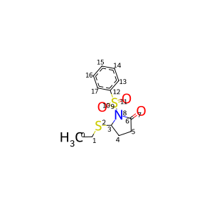 CCSC1CCC(=O)N1S(=O)(=O)c1ccccc1